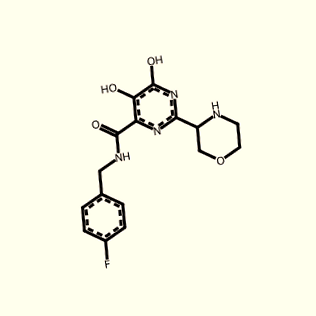 O=C(NCc1ccc(F)cc1)c1nc(C2COCCN2)nc(O)c1O